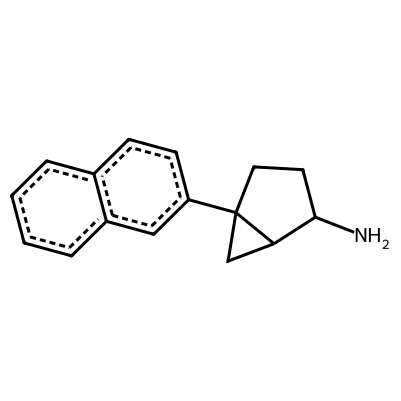 NC1CCC2(c3ccc4ccccc4c3)CC12